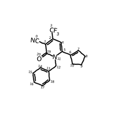 N#Cc1c(C(F)(F)F)cc(C2=CCCC2)n(Cc2ccccc2)c1=O